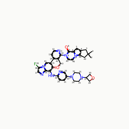 CC1(C)Cc2cc3c(=O)n(-c4nccc(-c5cc(Nc6ccc(N7CCN(C8COC8)CC7)cn6)c6ncc(F)n6c5)c4CO)ccn3c2C1